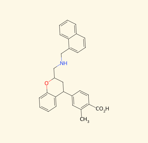 Cc1cc(C2CC(CNCc3cccc4ccccc34)Oc3ccccc32)ccc1C(=O)O